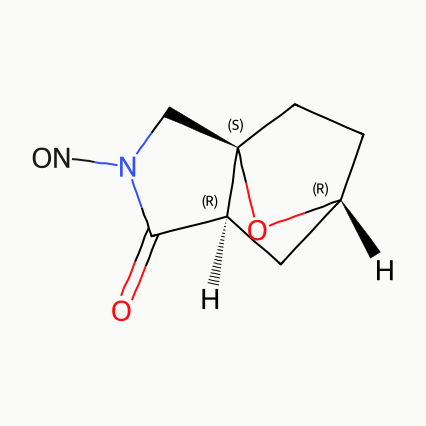 O=NN1C[C@]23CC[C@H](C[C@H]2C1=O)O3